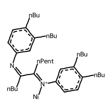 CCCCCC(C(CCCC)=Nc1ccc(CCCC)c(CCCC)c1)=[N+]([Ni])c1ccc(CCCC)c(CCCC)c1